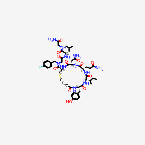 CCC(C)[C@@H]1NC(=O)[C@H](Cc2ccc(O)cc2)NC(=O)CCCSC[C@@H](C(=O)N(CC(=O)N[C@@H](CC(C)C)C(=O)NCC(N)=O)Cc2ccc(F)cc2)NC(=O)[C@H](CC(N)=O)NC(=O)[C@H](CCC(N)=O)NC1=O